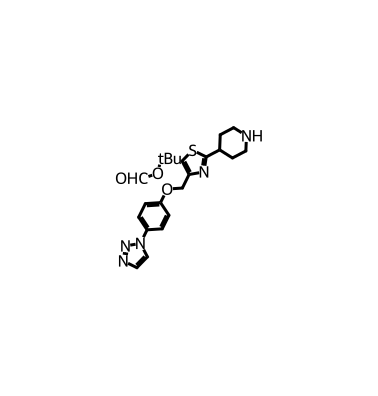 CC(C)(C)OC=O.c1cn(-c2ccc(OCc3csc(C4CCNCC4)n3)cc2)nn1